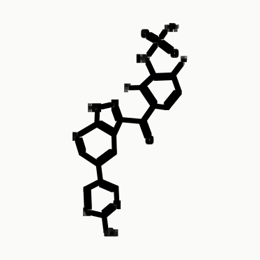 CCCS(=O)(=O)Nc1c(F)ccc(C(=O)c2n[nH]c3ncc(-c4cnc(C(C)(C)C)nc4)cc23)c1F